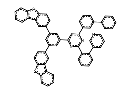 c1ccc(-c2cccc(-c3cc(-c4cc(-c5ccc6sc7ccccc7c6c5)cc(-c5ccc6sc7ccccc7c6c5)c4)nc(-c4ccccc4-c4cccnc4)n3)c2)cc1